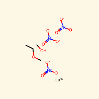 CCOC.CO.O=[N+]([O-])[O-].O=[N+]([O-])[O-].O=[N+]([O-])[O-].[La+3]